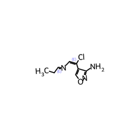 CC/C=N/C=C(/Cl)c1conc1N